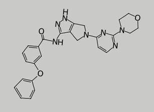 O=C(Nc1n[nH]c2c1CN(c1ccnc(N3CCOCC3)n1)C2)c1cccc(Oc2ccccc2)c1